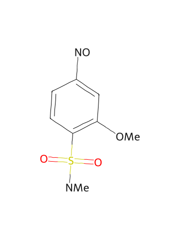 CNS(=O)(=O)c1ccc(N=O)cc1OC